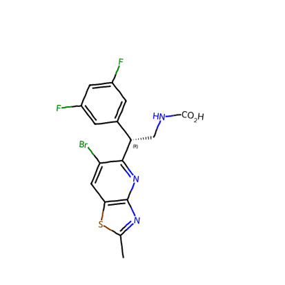 Cc1nc2nc([C@@H](CNC(=O)O)c3cc(F)cc(F)c3)c(Br)cc2s1